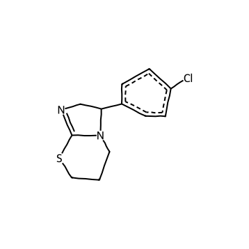 Clc1ccc(C2CN=C3SCCCN32)cc1